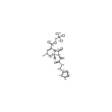 CC1C=C(C(=O)OCC(Cl)(Cl)Cl)N2C(=O)C(NC(=O)CSc3nncs3)[C@@H]2S1